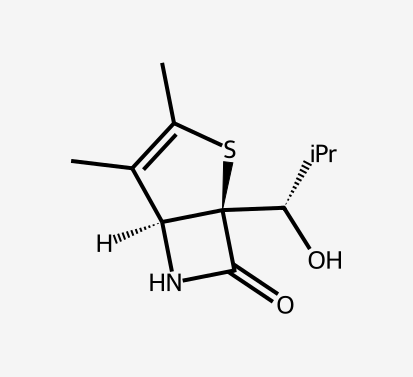 CC1=C(C)[C@@H]2NC(=O)[C@]2([C@@H](O)C(C)C)S1